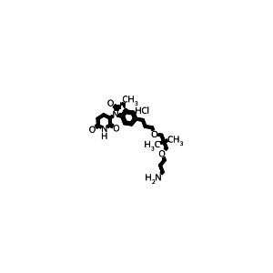 Cl.Cn1c(=O)n(C2CCC(=O)NC2=O)c2ccc(CCCOCC(C)(C)COCCCN)cc21